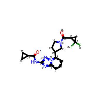 O=C(Nc1nc2cccc(C3CCN(C(=O)C4CC4(F)F)C3)n2n1)C1CC1